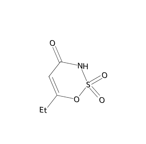 CCC1=CC(=O)NS(=O)(=O)O1